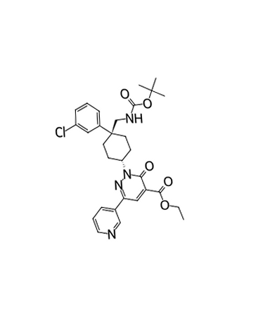 CCOC(=O)c1cc(-c2cccnc2)nn([C@H]2CC[C@@](CNC(=O)OC(C)(C)C)(c3cccc(Cl)c3)CC2)c1=O